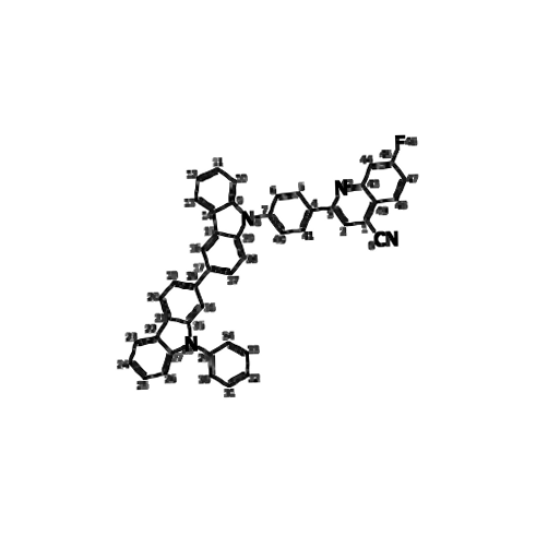 N#Cc1cc(-c2ccc(-n3c4ccccc4c4cc(-c5ccc6c7ccccc7n(-c7ccccc7)c6c5)ccc43)cc2)nc2cc(F)ccc12